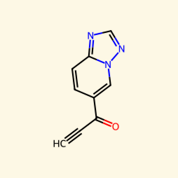 C#CC(=O)c1ccc2ncnn2c1